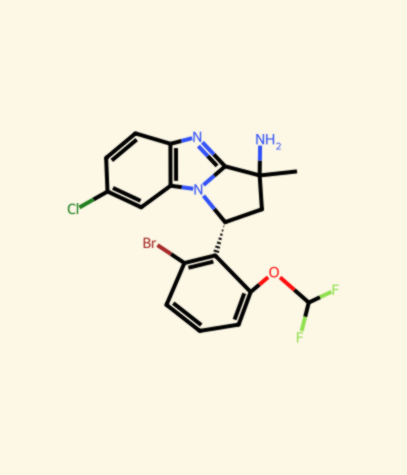 CC1(N)C[C@H](c2c(Br)cccc2OC(F)F)n2c1nc1ccc(Cl)cc12